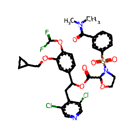 CN(C)C(=O)c1cccc(S(=O)(=O)N2CCOC2C(=O)OC(Cc2c(Cl)cncc2Cl)c2ccc(OC(F)F)c(OCC3CC3)c2)c1